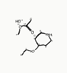 CCOC1CCNCC1.COC(C)=O.Cl